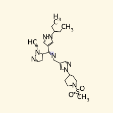 C#CN1N=CCC1/C(=N\Cc1cnn(C2CCN(S(C)(=O)=O)CC2)c1)c1cnn(C(CC)CC)c1